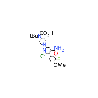 COc1ccc(-c2c(C(N)=O)cc(N3CCC(N(C(=O)O)C(C)(C)C)CC3)nc2Cl)cc1F